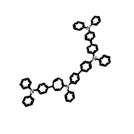 C1=CC(c2ccc(N(c3ccccc3)c3ccccc3)cc2)C=CC(N(c2ccccc2)c2ccc(-c3ccc(N(c4ccccc4)c4ccc(-c5ccc(N(c6ccccc6)c6ccccc6)cc5)cc4)cc3)cc2)=C1